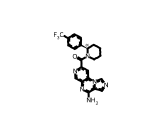 Nc1nc2cnc(C(=O)N3CCCC[C@@H]3c3ccc(C(F)(F)F)cc3)cc2n2cncc12